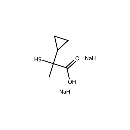 CC(S)(C(=O)O)C1CC1.[NaH].[NaH]